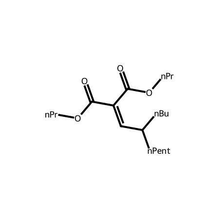 CCCCCC(C=C(C(=O)OCCC)C(=O)OCCC)CCCC